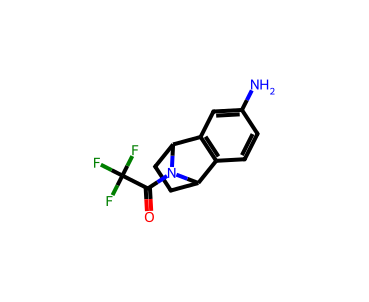 Nc1ccc2c(c1)C1CCC2N1C(=O)C(F)(F)F